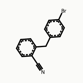 N#Cc1ccccc1Cc1ccc(Br)cc1